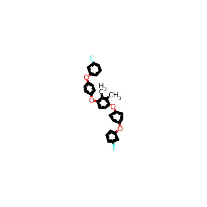 Cc1c(Oc2ccc(Oc3cccc(F)c3)cc2)ccc(Oc2ccc(Oc3cccc(F)c3)cc2)c1C